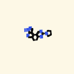 c1nc2[nH]ncc2c2c1CCc1nc(N3CCCC3)ncc1-2